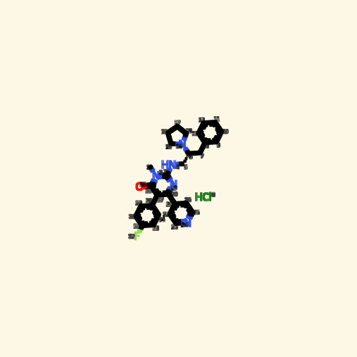 Cl.Cn1c(NC[C@@H](Cc2ccccc2)N2CCCC2)nc(-c2ccncc2)c(-c2ccc(F)cc2)c1=O